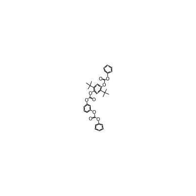 CC(C)(C)c1cc(OC(=O)Oc2cccc(OC(=O)Oc3ccccc3)c2)c(C(C)(C)C)cc1OC(=O)Oc1ccccc1